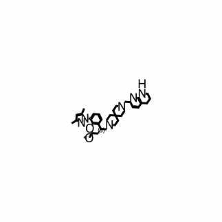 COC(=O)C[C@H](CN1CCC2(CCN(Cc3ccc4c(n3)NCCC4)CC2)CC1)c1cccc(-n2nc(C)cc2C)c1